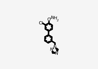 NOc1ccc(-c2cccc(Cn3cncn3)c2)cc1Cl